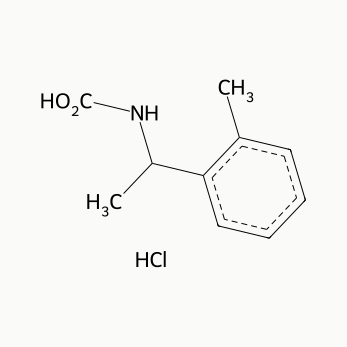 Cc1ccccc1C(C)NC(=O)O.Cl